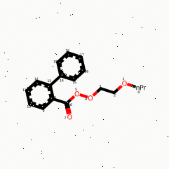 CCCOC[CH]OOC(=O)c1ccccc1-c1ccccc1